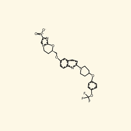 O=[N+]([O-])c1cn2c(n1)O[C@@H](COc1ccc3nc(N4CCC(Oc5ccc(OC(F)(F)F)cc5)CC4)ccc3c1)CC2